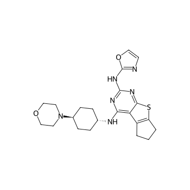 c1coc(Nc2nc(N[C@H]3CC[C@H](N4CCOCC4)CC3)c3c4c(sc3n2)CCC4)n1